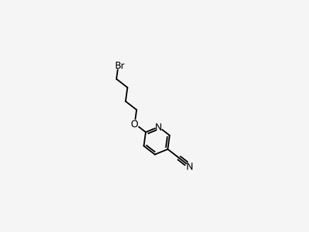 N#Cc1ccc(OCCCCBr)nc1